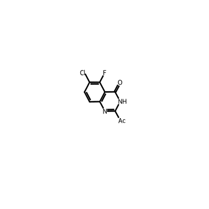 CC(=O)c1nc2ccc(Cl)c(F)c2c(=O)[nH]1